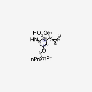 CCCC(CCC)CO/C(C)=C/C(=C\C=N)C(CC(=O)O)C1CC1C